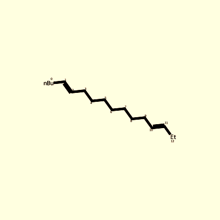 [CH2]CCCC=CCCCCCCCC=CCC